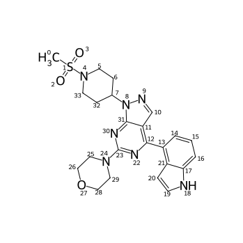 CS(=O)(=O)N1CCC(n2ncc3c(-c4cccc5[nH]ccc45)nc(N4CCOCC4)nc32)CC1